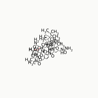 CC/C(C)=C(/C)C(C)(CC)C(C)C(=O)NN[C@H](C(=O)N[C@@H](CCCNC(N)=O)C(=O)Nc1ccc(COC(=O)N(C)[C@H](C(=O)N[C@H](C(=O)N(C)[C@@H]([C@@H](C)CC)[C@@H](CC(N)=O)OC)C(C)C)C(C)C)cc1)C(C)C